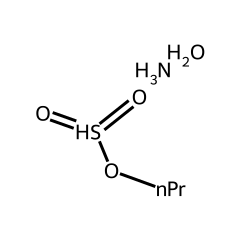 CCCO[SH](=O)=O.N.O